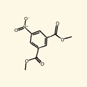 COC(=O)c1cc(C(=O)OC)cc([N+](=O)[O-])c1